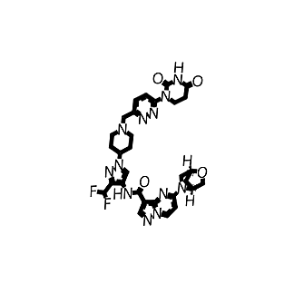 O=C1CCN(c2ccc(CN3CCC(n4cc(NC(=O)c5cnn6ccc(N7C[C@H]8C[C@@H]7CO8)nc56)c(C(F)F)n4)CC3)nn2)C(=O)N1